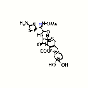 CO/N=C(\C(=O)NC1C(=O)N2C(C(=O)[O-])=C(C[N@+]3(C)CCC(O)[C@H](O)C3)CS[C@@H]12)c1csc(N)n1